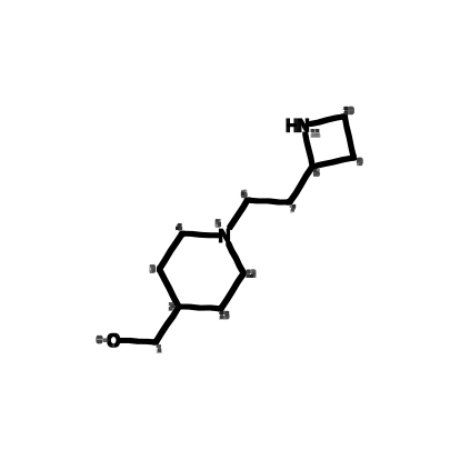 [O]CC1CCN(CCC2CCN2)CC1